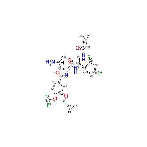 C[C@H](N)c1oc(-c2ccc(OC(F)F)c(OCC3CC3)c2)nc1C(=O)N[C@@H](CNC(=O)CC1CC1)c1ccc(F)cc1F